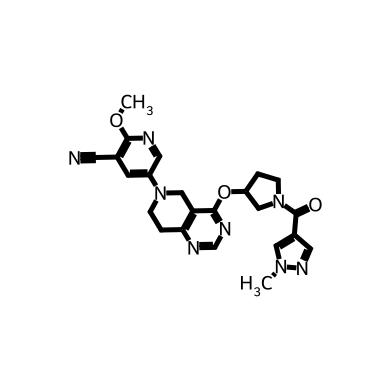 COc1ncc(N2CCc3ncnc(OC4CCN(C(=O)c5cnn(C)c5)C4)c3C2)cc1C#N